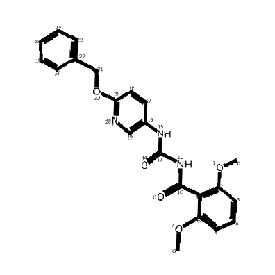 COc1cccc(OC)c1C(=O)NC(=O)Nc1ccc(OCc2ccccc2)nc1